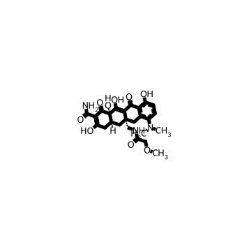 COCC(=O)NC[C@@]12Cc3c(N(C)C)ccc(O)c3C(=O)C1=C(O)[C@]1(O)C(=O)C(C(N)=O)=C(O)C[C@@H]1C2